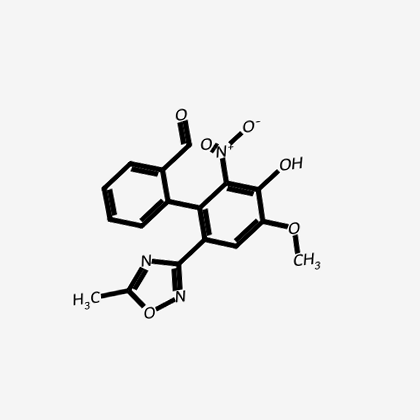 COc1cc(-c2noc(C)n2)c(-c2ccccc2C=O)c([N+](=O)[O-])c1O